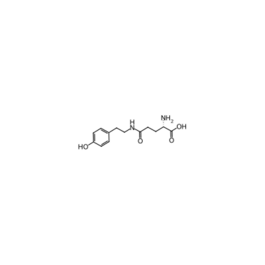 N[C@@H](CCC(=O)NCCc1ccc(O)cc1)C(=O)O